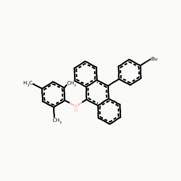 CCC(C)c1ccc(-c2c3ccccc3c(Bc3c(C)cc(C)cc3C)c3ccccc23)cc1